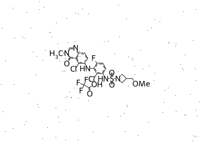 COCC1CN(S(=O)(=O)Nc2ccc(F)c(Nc3ccc4ncn(C)c(=O)c4c3Cl)c2Cl)C1.O=C(O)C(F)(F)F